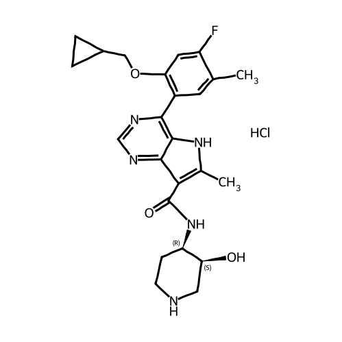 Cc1cc(-c2ncnc3c(C(=O)N[C@@H]4CCNC[C@@H]4O)c(C)[nH]c23)c(OCC2CC2)cc1F.Cl